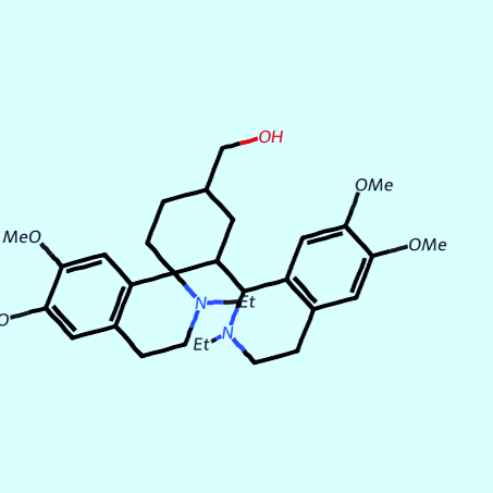 CCN1CCc2cc(OC)c(OC)cc2C1C1CC(CO)CCC12c1cc(OC)c(OC)cc1CCN2CC